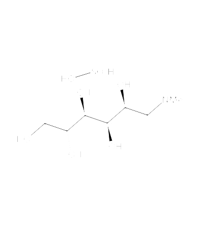 CNC[C@H](O)[C@@H](O)[C@H](O)[C@H](O)CO.O=S(=O)(O)O